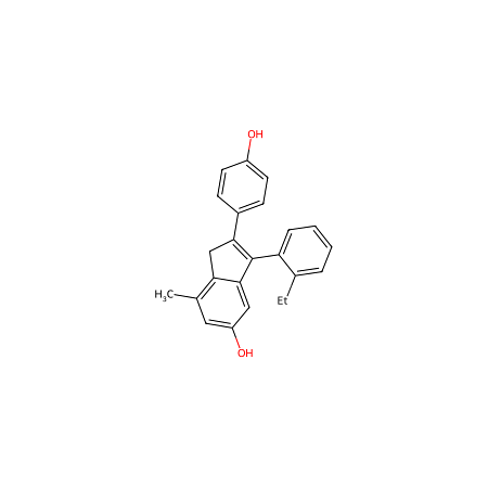 CCc1ccccc1C1=C(c2ccc(O)cc2)Cc2c(C)cc(O)cc21